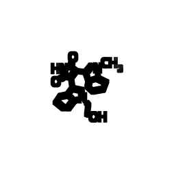 Cn1cc(C2=C(c3cn(CCO)c4ccccc34)C(=O)NC2=O)c2ccccc21